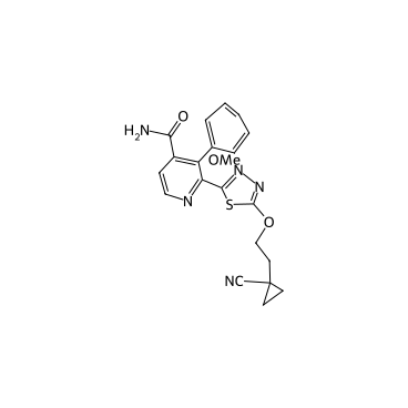 COc1ccccc1-c1c(C(N)=O)ccnc1-c1nnc(OCCC2(C#N)CC2)s1